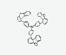 c1ccc2c(c1)Cc1cccc(-c3ccc(N(c4ccc(-c5cccc6oc7ccccc7c56)cc4)c4ccc(-c5cccc6oc7ccccc7c56)cc4)cc3)c1-2